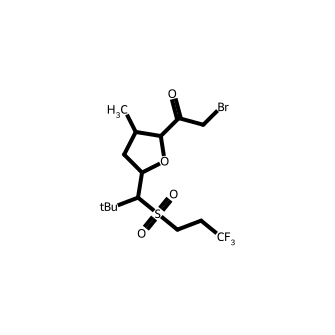 CC1CC(C(C(C)(C)C)S(=O)(=O)CCC(F)(F)F)OC1C(=O)CBr